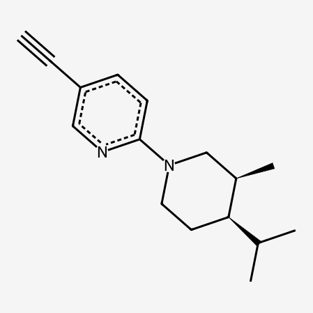 C#Cc1ccc(N2CC[C@H](C(C)C)[C@H](C)C2)nc1